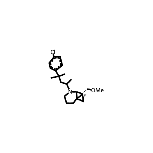 COC[C@]12CC13CCCN(C(C)CC(C)(C)c1ccc(Cl)cc1)C32